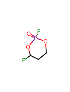 O=P1(F)OCCC(F)O1